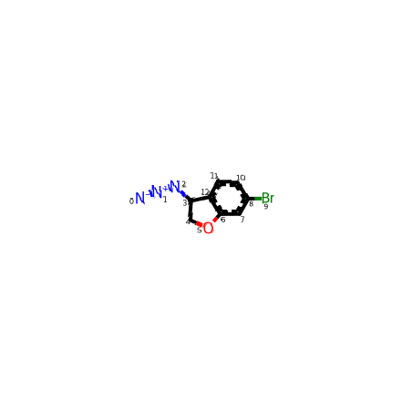 [N-]=[N+]=NC1COc2cc(Br)ccc21